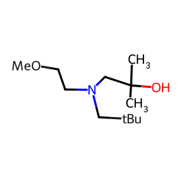 COCCN(CC(C)(C)C)CC(C)(C)O